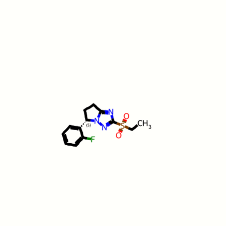 CCS(=O)(=O)c1nc2n(n1)[C@H](c1ccccc1F)CC2